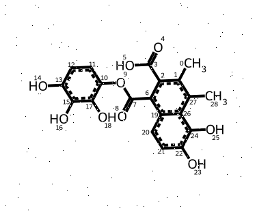 Cc1c(C(=O)O)c(C(=O)Oc2ccc(O)c(O)c2O)c2ccc(O)c(O)c2c1C